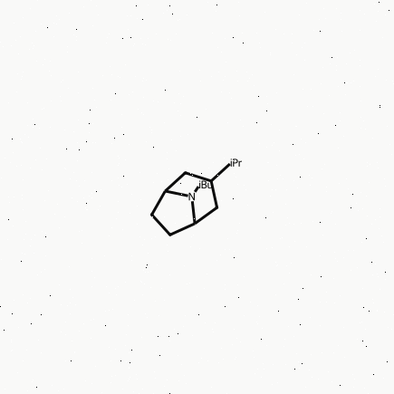 CCC(C)N1C2CCC1CC(C(C)C)C2